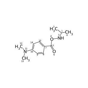 CC(C)NOC(=O)c1ccc(N(C)C)cc1